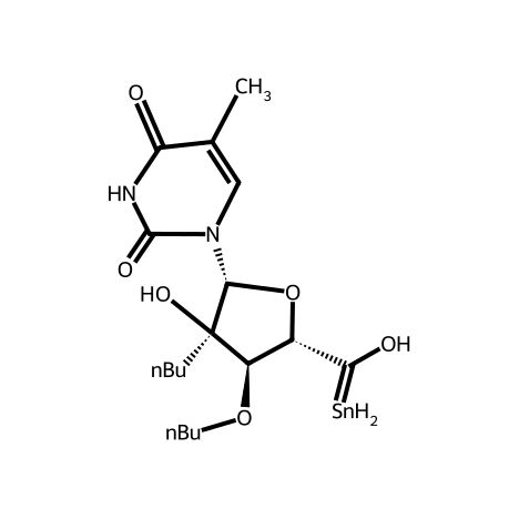 CCCCO[C@@H]1[C@@H]([C](O)=[SnH2])O[C@@H](n2cc(C)c(=O)[nH]c2=O)[C@@]1(O)CCCC